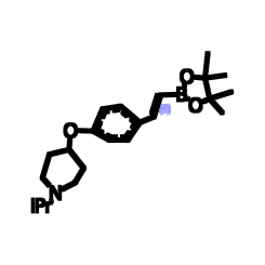 CC(C)N1CCC(Oc2ccc(/C=C/B3OC(C)(C)C(C)(C)O3)cc2)CC1